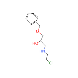 OC(CNCCCl)COCc1ccccc1